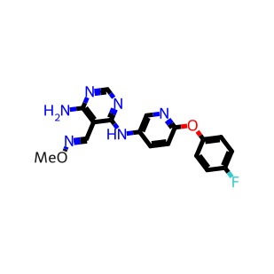 CON=Cc1c(N)ncnc1Nc1ccc(Oc2ccc(F)cc2)nc1